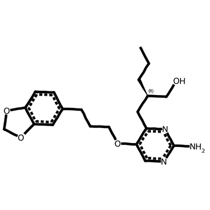 CCC[C@@H](CO)Cc1nc(N)ncc1OCCCc1ccc2c(c1)OCO2